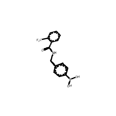 O=C(NCc1ccc(B(O)O)cc1)c1ccccc1C(F)(F)F